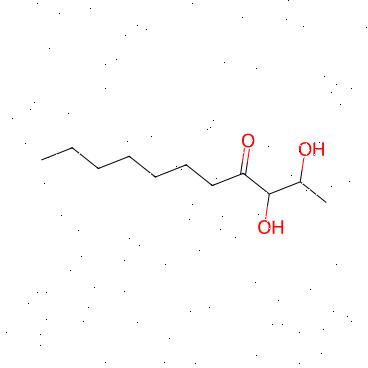 CCCCCCCC(=O)C(O)C(C)O